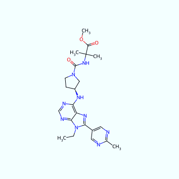 CCn1c(-c2cnc(C)nc2)nc2c(N[C@H]3CCN(C(=O)NC(C)(C)C(=O)OC)C3)ncnc21